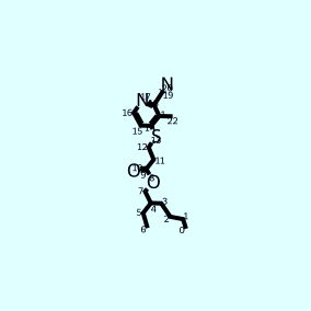 CCCCC(CC)COC(=O)CCSc1ccnc(C#N)c1C